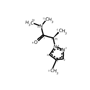 Cc1cnn([C@H](C)C(=O)N(C)C)c1